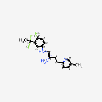 Cc1ccc(CC/C(N)=C/Nc2ccc(F)c(C(C)(F)F)c2)nc1